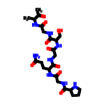 CC(=O)C(C)NC(=O)CNC(=O)C(CO)NC(=O)CNC(=O)C(CCC(N)=O)NC(=O)CNC(=O)C1CCCN1